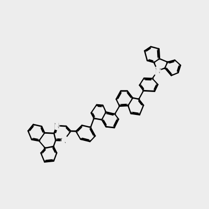 c1cc(-c2cnc3c4ccccc4c4ccccc4c3n2)cc(-c2cccc3c(-c4cccc5c(-c6ccc(-n7c8ccccc8c8ccccc87)cc6)cccc45)cccc23)c1